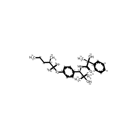 [2H]C([2H])(Oc1ccc([C@@H](NC(=O)[C@](C)(O)c2ccccc2)C(C)(C)O)cc1)[C@H](C)CCC